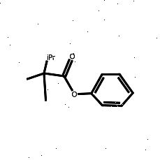 CC(C)C(C)(C)C(=O)Oc1ccccc1